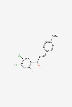 COc1ccc(/C=C/C(=O)c2cc(Cl)c(Cl)cc2C)cc1